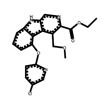 CCOC(=O)c1ncc2[nH]c3cccc(Oc4ccc(Cl)cn4)c3c2c1COC